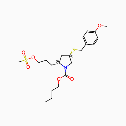 CCCCOC(=O)N1C[C@H](SCc2ccc(OC)cc2)C[C@H]1CCCOS(C)(=O)=O